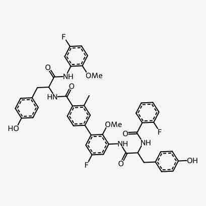 COc1ccc(F)cc1NC(=O)C(Cc1ccc(O)cc1)NC(=O)c1ccc(-c2cc(F)cc(NC(=O)C(Cc3ccc(O)cc3)NC(=O)c3ccccc3F)c2OC)cc1C